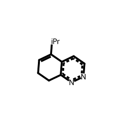 CC(C)C1=CCCc2nnccc21